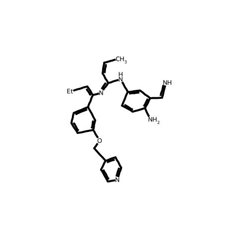 C\C=C/C(=N\C(=C\CC)c1cccc(OCc2ccncc2)c1)Nc1ccc(N)c(C=N)c1